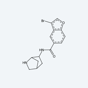 O=C(NC1CC2CNC1C2)c1ccc2occ(Br)c2c1